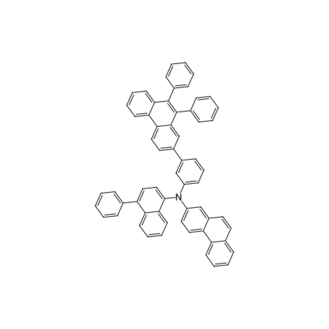 c1ccc(-c2ccc(N(c3cccc(-c4ccc5c(c4)c(-c4ccccc4)c(-c4ccccc4)c4ccccc45)c3)c3ccc4c(ccc5ccccc54)c3)c3ccccc23)cc1